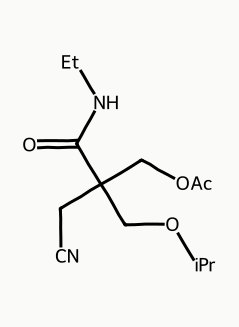 CCNC(=O)C(CC#N)(COC(C)=O)COC(C)C